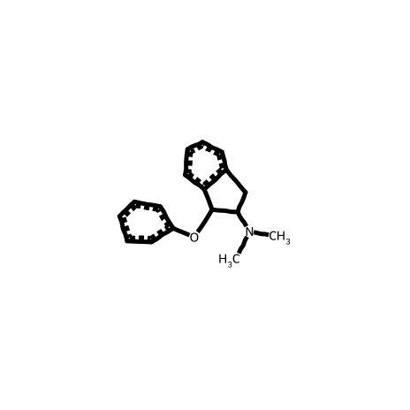 CN(C)C1Cc2ccccc2C1Oc1ccccc1